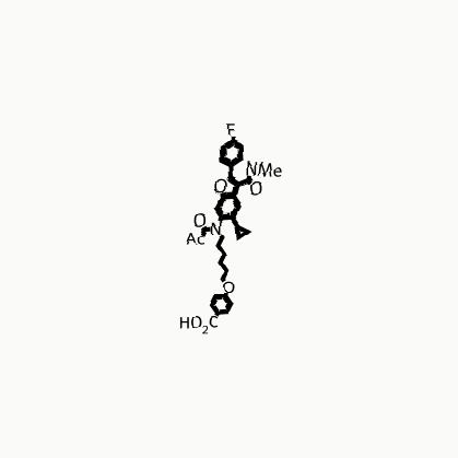 CNC(=O)c1c(-c2ccc(F)cc2)oc2cc(N(CCCCCCOc3ccc(C(=O)O)cc3)C(=O)C(C)=O)c(C3CC3)cc12